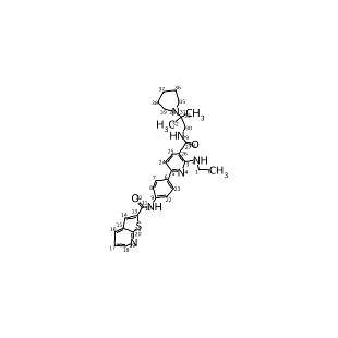 CCNc1nc(-c2ccc(NC(=O)c3cc4cccnc4s3)cc2)ccc1C(=O)NCC(C)(C)N1CCCCC1